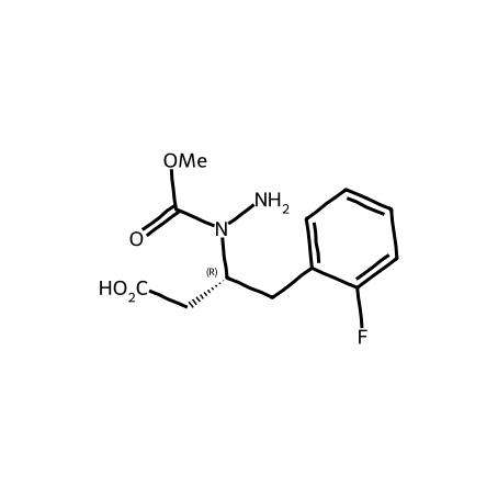 COC(=O)N(N)[C@@H](CC(=O)O)Cc1ccccc1F